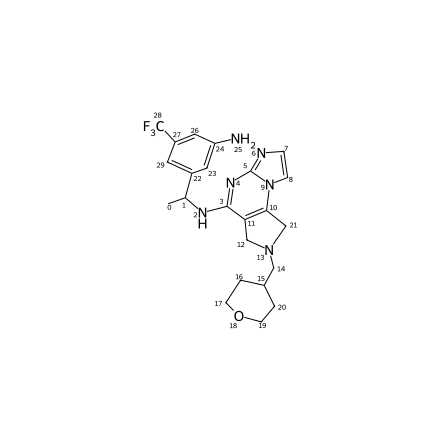 CC(Nc1nc2nccn2c2c1CN(CC1CCOCC1)C2)c1cc(N)cc(C(F)(F)F)c1